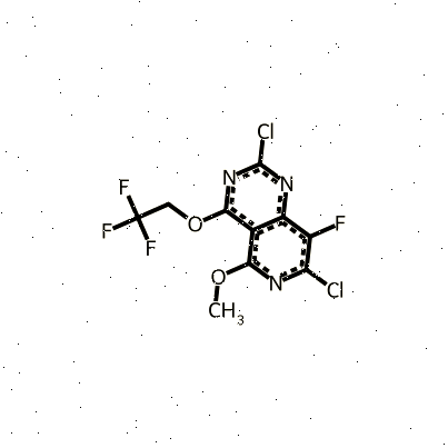 COc1nc(Cl)c(F)c2nc(Cl)nc(OCC(F)(F)F)c12